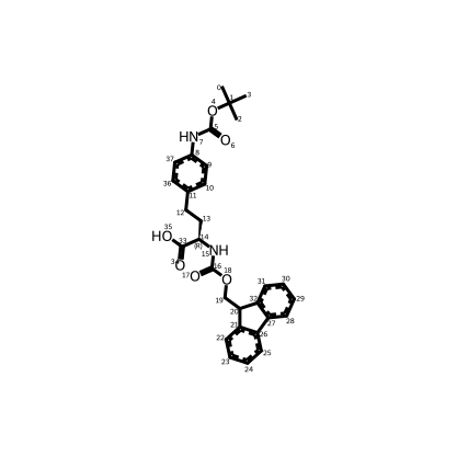 CC(C)(C)OC(=O)Nc1ccc(CC[C@@H](NC(=O)OCC2c3ccccc3-c3ccccc32)C(=O)O)cc1